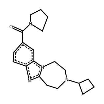 O=C(c1ccc2nc3n(c2c1)CCN(C1CCC1)CC3)N1CCCC1